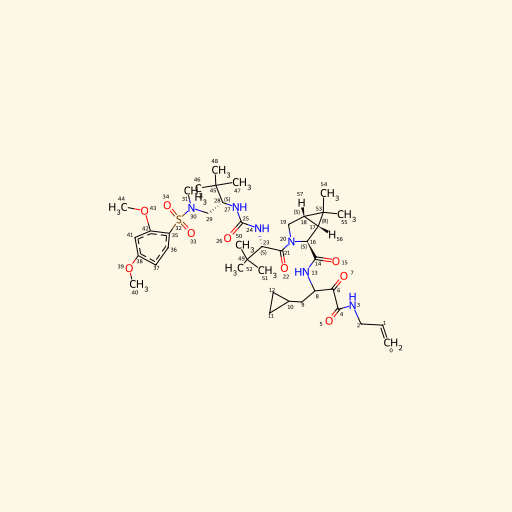 C=CCNC(=O)C(=O)C(CC1CC1)NC(=O)[C@@H]1[C@@H]2[C@H](CN1C(=O)[C@@H](NC(=O)N[C@H](CN(C)S(=O)(=O)c1ccc(OC)cc1OC)C(C)(C)C)C(C)(C)C)C2(C)C